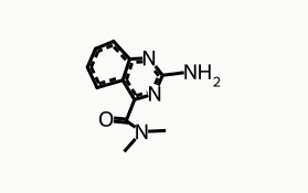 CN(C)C(=O)c1nc(N)nc2ccccc12